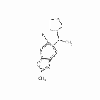 Cc1nc2cc(C(C)N3CCCC3)c(F)cc2s1